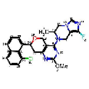 COc1nc2c(c(N3Cc4c(F)ncn4CC3C)n1)COC(c1cccc3cccc(Cl)c13)C2